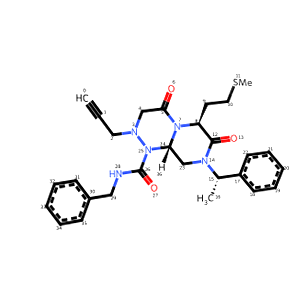 C#CCN1CC(=O)N2[C@@H](CCSC)C(=O)N([C@@H](C)c3ccccc3)C[C@@H]2N1C(=O)NCc1ccccc1